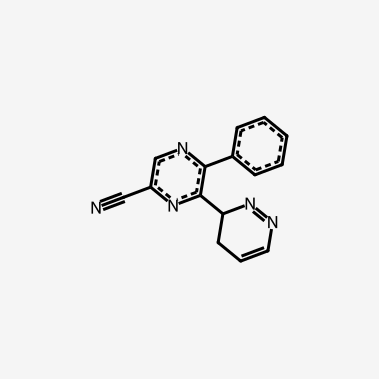 N#Cc1cnc(-c2ccccc2)c(C2CC=CN=N2)n1